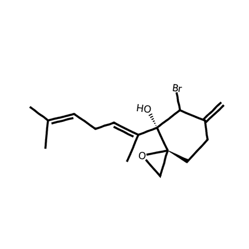 C=C1CC[C@]2(CO2)[C@@](O)(/C(C)=C/CC=C(C)C)C1Br